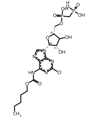 CCCCCOC(=O)Nc1nc(Cl)nc2c1ncn2[C@@H]1O[C@H](COP(=O)(O)CP(=O)(O)O)C(O)[C@@H]1O